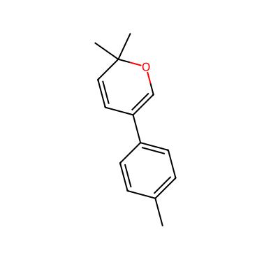 Cc1ccc(C2=COC(C)(C)C=C2)cc1